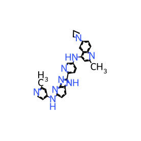 Cc1cc(Nc2ccc3[nH]c(-c4ccc(Nc5cc(C)nc6ccc(N7CCC7)cc56)cn4)nc3n2)ccn1